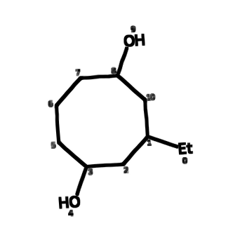 CCC1CC(O)CCCC(O)C1